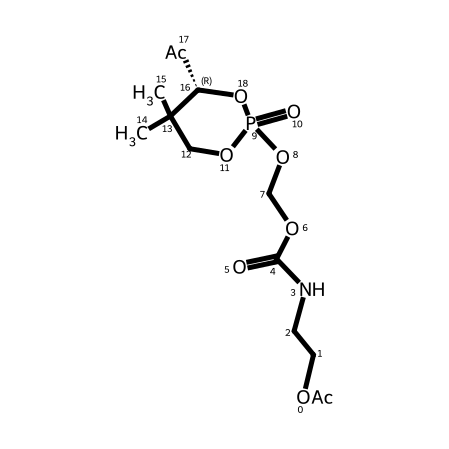 CC(=O)OCCNC(=O)OCOP1(=O)OCC(C)(C)[C@H](C(C)=O)O1